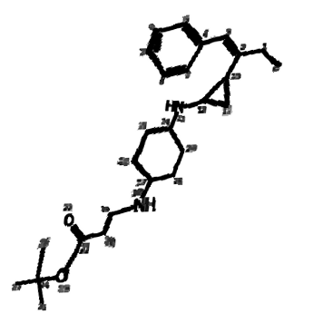 CCC(=Cc1ccccc1)C1CC1NC1CCC(NCCC(=O)OC(C)(C)C)CC1